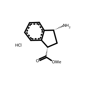 COC(=O)[C@H]1C[C@@H](N)c2ccccc21.Cl